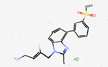 CNS(=O)(=O)c1cccc(-c2cccc3c2nc(C)n3CC(F)=CCN)c1.Cl